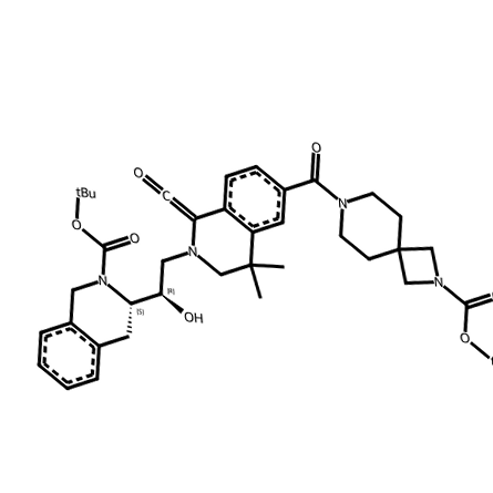 CC(C)(C)OC(=O)N1CC2(CCN(C(=O)c3ccc4c(c3)C(C)(C)CN(C[C@@H](O)[C@@H]3Cc5ccccc5CN3C(=O)OC(C)(C)C)C4=C=O)CC2)C1